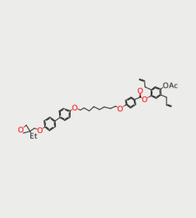 C=CCc1cc(OC(=O)c2ccc(OCCCCCCCCOc3ccc(-c4ccc(OCC5(CC)COC5)cc4)cc3)cc2)c(CC=C)cc1OC(C)=O